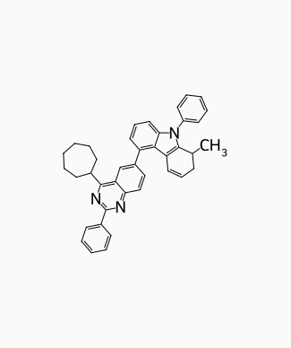 CC1CC=Cc2c1n(-c1ccccc1)c1cccc(-c3ccc4nc(-c5ccccc5)nc(C5CCCCCC5)c4c3)c21